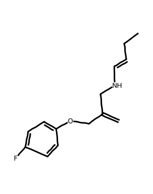 C=C(CN/C=C/CC)COc1ccc(F)cc1